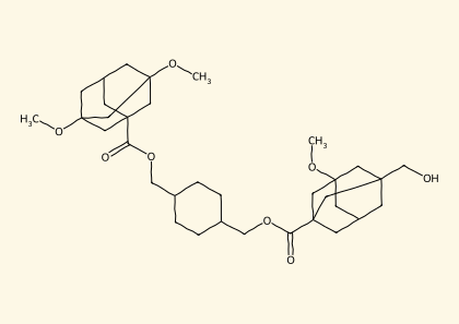 COC12CC3CC(CO)(C1)CC(C(=O)OCC1CCC(COC(=O)C45CC6CC(OC)(CC(OC)(C6)C4)C5)CC1)(C3)C2